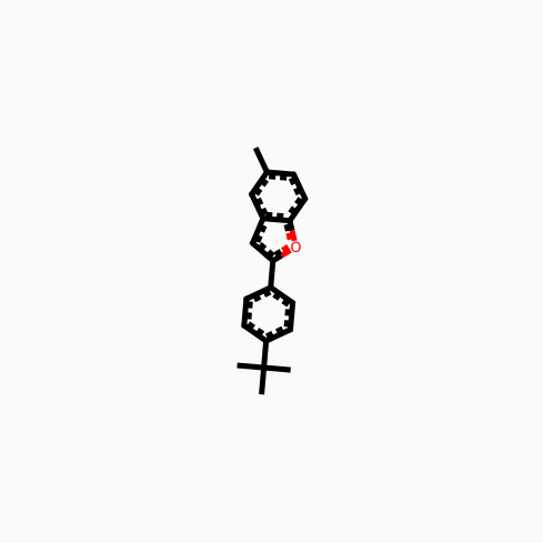 Cc1ccc2oc(-c3ccc(C(C)(C)C)cc3)cc2c1